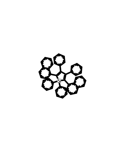 c1ccc(C2=C(c3cccc4ccccc34)[Si](c3ccccc3)(c3ccccc3)C(c3cccc4ccccc34)=C2c2ccccc2)cc1